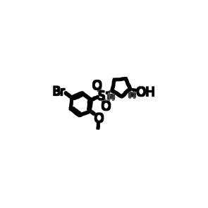 COc1ccc(Br)cc1S(=O)(=O)[C@@H]1CC[C@@H](O)C1